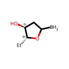 BC1C[C@H](O)[C@@H](CC)O1